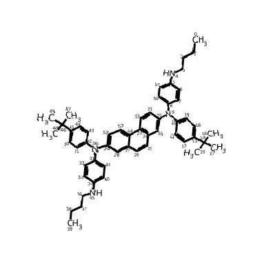 CCCCNc1ccc(N(c2ccc(C(C)(C)C)cc2)c2ccc3c(ccc4cc(N(c5ccc(NCCCC)cc5)c5ccc(C(C)(C)C)cc5)ccc43)c2)cc1